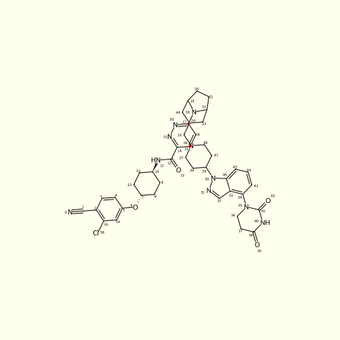 N#Cc1ccc(O[C@H]2CC[C@H](NC(=O)c3ccc(N4C5CCC4CC(CN4CCC(n6ncc7c(N8CCC(=O)NC8=O)cccc76)CC4)C5)nn3)CC2)cc1Cl